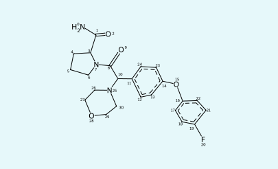 NC(=O)C1CCCN1C(=O)C(c1ccc(Oc2ccc(F)cc2)cc1)N1CCOCC1